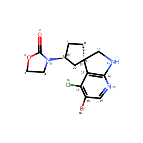 O=C1OCCN1[C@H]1CC[C@@]2(CNc3ncc(Br)c(Cl)c32)C1